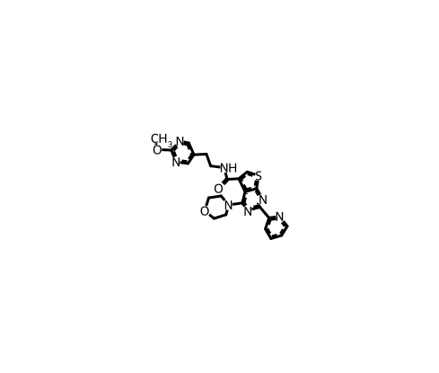 COc1ncc(CCNC(=O)c2csc3nc(-c4ccccn4)nc(N4CCOCC4)c23)cn1